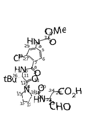 COC(=O)Nc1ccc(C(=O)N[C@H](C(=O)N2CCC[C@H]2C(=O)N[C@H](C=O)CC(=O)O)C(C)(C)C)c(Cl)c1